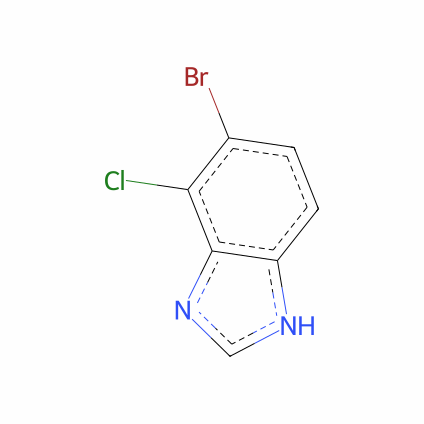 Clc1c(Br)ccc2[nH]cnc12